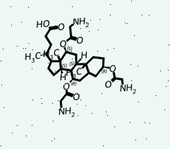 C[C@H](CCC(=O)O)C1CC[C@H]2C3[C@H](OC(=O)CN)CC4C[C@H](OC(=O)CN)CCC4(C)[C@H]3C[C@H](OC(=O)CN)C12C